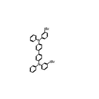 CC(C)(C)c1cccc(N(c2ccccc2)c2ccc(-c3ccc(N(c4ccccc4)c4cccc(C(C)(C)C)c4)cc3)cc2)c1